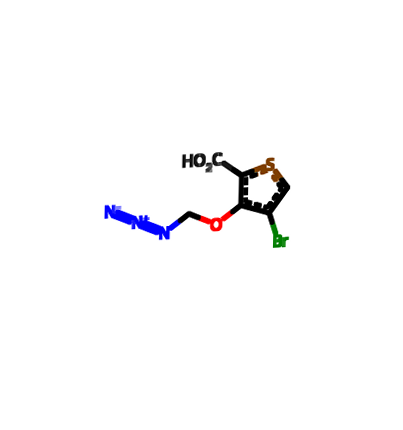 [N-]=[N+]=NCOc1c(Br)csc1C(=O)O